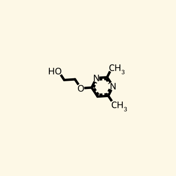 Cc1cc(OCCO)nc(C)n1